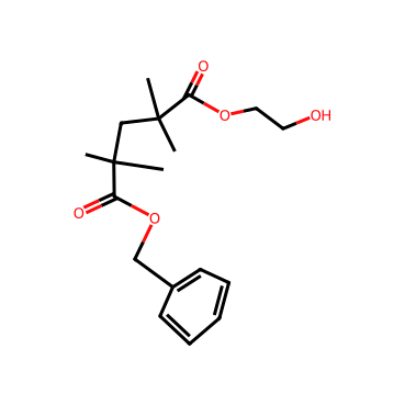 CC(C)(CC(C)(C)C(=O)OCc1ccccc1)C(=O)OCCO